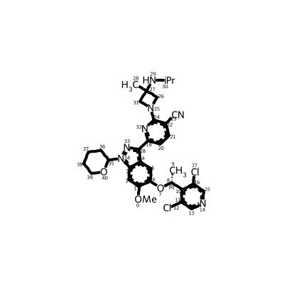 COc1cc2c(cc1O[C@H](C)c1c(Cl)cncc1Cl)c(-c1ccc(C#N)c(N3CC(C)(NC(C)C)C3)n1)nn2C1CCCCO1